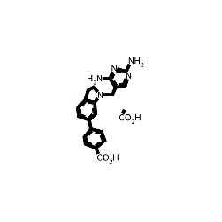 CC(=O)O.Nc1ncc(CN2CCc3ccc(-c4ccc(C(=O)O)cc4)cc32)c(N)n1